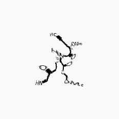 C#C[C@H](OC)C(=O)N[C@@H](CCC(=O)C=N)C(=O)OCOC